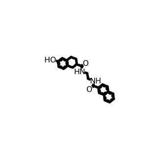 O=C(NCCNC(=O)C1CCc2cc(O)ccc2C1)c1ccc2ccccc2c1